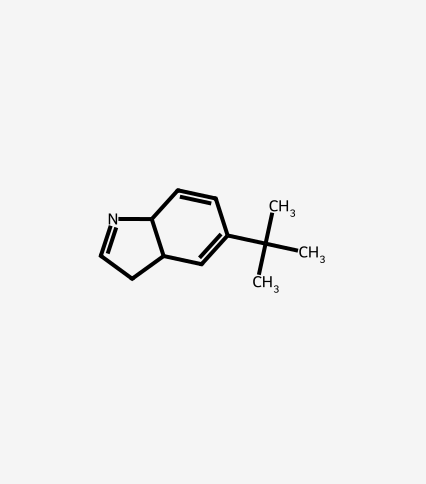 CC(C)(C)C1=CC2CC=NC2C=C1